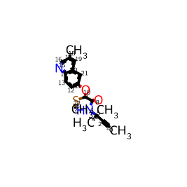 CC#CC(C)(C)NC(=O)C(Oc1ccc2ncc(C)cc2c1)SC